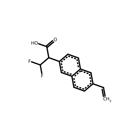 C=Cc1ccc2cc(C(C(=O)O)C(F)F)ccc2c1